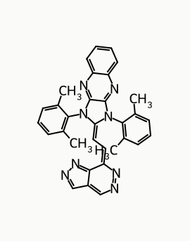 Cc1cccc(C)c1N1C(=C/C=c2/nncc3c2=NN=C3)N(c2c(C)cccc2C)c2nc3ccccc3nc21